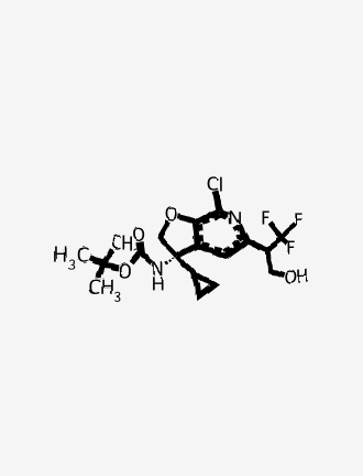 CC(C)(C)OC(=O)N[C@]1(C2CC2)COc2c1cc(C(CO)C(F)(F)F)nc2Cl